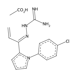 C=CC(=NNC(=N)N)c1cccn1-c1ccc(Cl)cc1.CC(=O)O